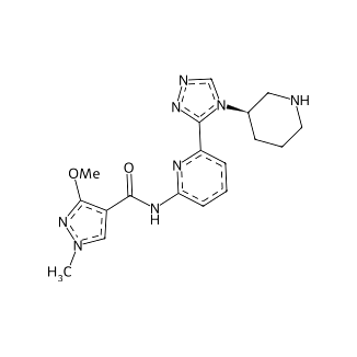 COc1nn(C)cc1C(=O)Nc1cccc(-c2nncn2[C@@H]2CCCNC2)n1